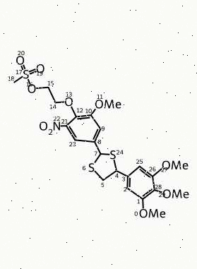 COc1cc(C2CSC(c3cc(OC)c(OCCOS(C)(=O)=O)c([N+](=O)[O-])c3)S2)cc(OC)c1OC